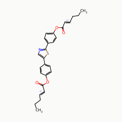 CCC/C=C/C(=O)Oc1ccc(-c2cnc(-c3ccc(OC(=O)/C=C/CCC)cc3)s2)cc1